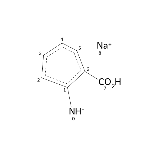 [NH-]c1ccccc1C(=O)O.[Na+]